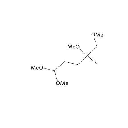 COCC(C)(CCC(OC)OC)OC